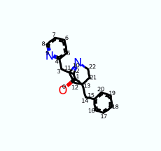 O=C1C(Cc2ccccn2)N2CCC1(Cc1ccccc1)CC2